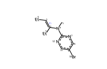 CC/C=C(\CC)N(C)c1ncc(Br)cn1